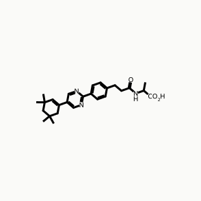 CC(NC(=O)CCc1ccc(-c2ncc(C3=CC(C)(C)CC(C)(C)C3)cn2)cc1)C(=O)O